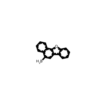 Bc1cc2c3ccccc3oc2c2ccccc12